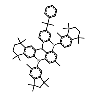 Cc1cc2c3c(c1)N(c1ccc4c(c1C)C(C)(C)CCC4(C)C)c1cc(C(C)(C)c4ccccc4)ccc1B3c1cc3c(cc1N2c1cc2c(cc1C)C(C)(C)CC2(C)C)C(C)(C)CCC3(C)C